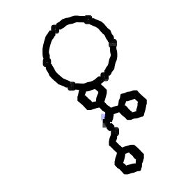 c1ccc(CO/N=C(\c2ccccc2)c2ccc3c(c2)OCCOCCOCCOCCOCCO3)cc1